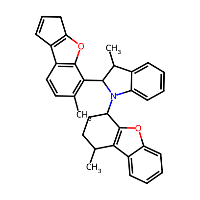 Cc1ccc2c3c(oc2c1C1C(C)c2ccccc2N1C1CCC(C)c2c1oc1ccccc21)CC=C3